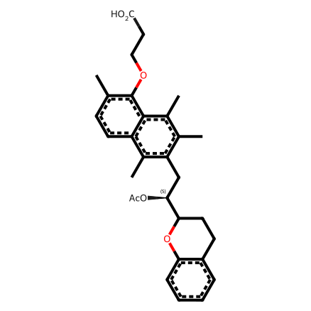 CC(=O)O[C@@H](Cc1c(C)c(C)c2c(OCCC(=O)O)c(C)ccc2c1C)C1CCc2ccccc2O1